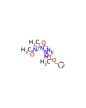 C=CC1(N2CNN(/C=C\C(=O)C(=C)OCc3ccccc3)CC2=O)CN(C(C)=O)C1